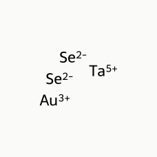 [Au+3].[Se-2].[Se-2].[Ta+5]